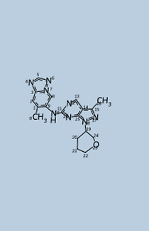 Cc1cc2ncnn2cc1Nc1ncc2c(C)nn(C3CCCOC3)c2n1